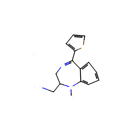 CN1c2ccccc2C(c2cccs2)=NCC1CN.Cl.Cl